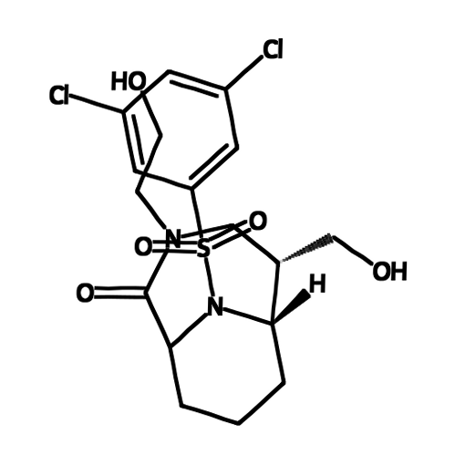 O=C1C2CCC[C@@H]([C@@H](CO)CN1CCO)N2S(=O)(=O)c1cc(Cl)cc(Cl)c1